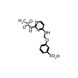 CS(=O)(=O)Nc1nccc(NCOc2cccc(S(=O)(=O)O)c2)n1